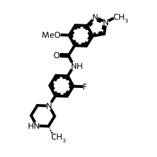 COc1cc2nn(C)cc2cc1C(=O)Nc1ccc(N2CCN[C@@H](C)C2)cc1F